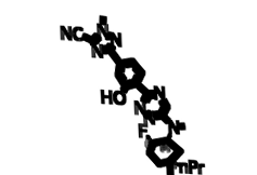 CCC[C@]1(C)CC[C@H](F)[C@H](N(C)c2cnc(-c3ccc(-c4nc(C#N)n(C)n4)cc3O)nn2)C1